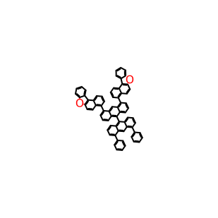 c1ccc(-c2cccc3c(-c4c5cccc(-c6cccc7c6ccc6oc8ccccc8c67)c5cc5c(-c6cccc7c6ccc6oc8ccccc8c67)cccc45)c4cccc(-c5ccccc5)c4cc23)cc1